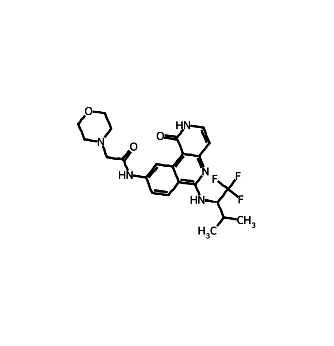 CC(C)[C@@H](Nc1nc2cc[nH]c(=O)c2c2cc(NC(=O)CN3CCOCC3)ccc12)C(F)(F)F